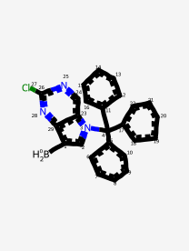 Bc1cn(C(c2ccccc2)(c2ccccc2)c2ccccc2)c2cnc(Cl)nc12